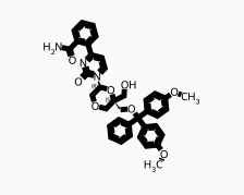 COc1ccc(C(OC[C@]2(CO)COC[C@H](n3ccc(-c4ccccc4C(N)=O)nc3=O)O2)(c2ccccc2)c2ccc(OC)cc2)cc1